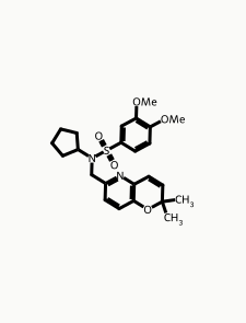 COc1ccc(S(=O)(=O)N(Cc2ccc3c(n2)C=CC(C)(C)O3)C2CCCC2)cc1OC